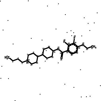 CCCC[SiH]1CCC(C2CCC(OC(=O)c3ccc(OCC)c(F)c3F)CC2)CC1